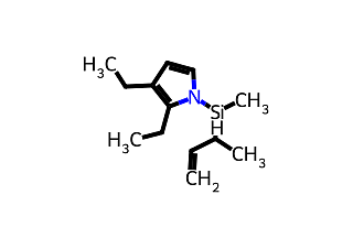 C=CC(C)[SiH](C)n1ccc(CC)c1CC